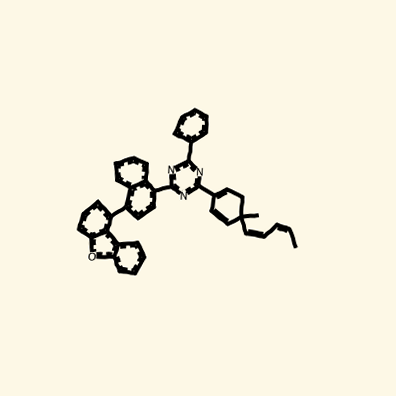 C/C=C\C=C/C1(C)C=CC(c2nc(-c3ccccc3)nc(-c3ccc(-c4cccc5oc6ccccc6c45)c4ccccc34)n2)=CC1